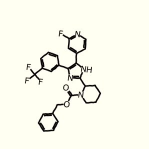 O=C(OCc1ccccc1)N1CCCCC1c1nc(-c2cccc(C(F)(F)F)c2)c(-c2ccnc(F)c2)[nH]1